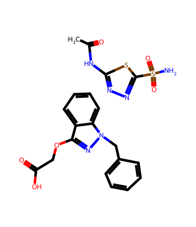 CC(=O)Nc1nnc(S(N)(=O)=O)s1.O=C(O)COc1nn(Cc2ccccc2)c2ccccc12